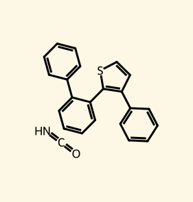 N=C=O.c1ccc(-c2ccccc2-c2sccc2-c2ccccc2)cc1